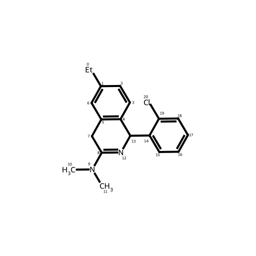 CCc1ccc2c(c1)CC(N(C)C)=NC2c1ccccc1Cl